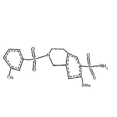 COc1cc2c(cc1S(N)(=O)=O)CCN(S(=O)(=O)c1cccc(C#N)c1)C2